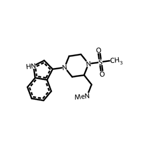 CNCC1CN(c2c[nH]c3ccccc23)CCN1S(C)(=O)=O